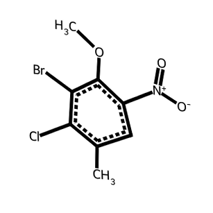 COc1c([N+](=O)[O-])cc(C)c(Cl)c1Br